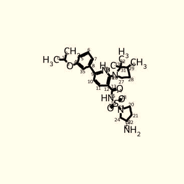 CC(C)Oc1cccc(-c2ccc(C(=O)NS(=O)(=O)N3CC[C@H](N)C3)c(N3CCC(C)C3(C)C)n2)c1